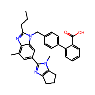 CCCc1nc2c(C)cc(-c3nc4c(n3C)CCC4)cc2n1Cc1ccc(-c2ccccc2C(=O)O)cc1